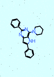 c1ccc(-c2nc(N3CCCCC3)c3[nH]c(-c4ccccc4)cc3n2)cc1